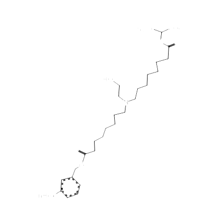 CCCCCCCCC(CCCCCCCC)OC(=O)CCCCCCCN(CCO)CCCCCCCC(=O)OCc1cccc(CCCCCC)c1